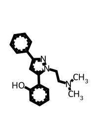 CN(C)CCn1nc(-c2ccccc2)cc1-c1ccccc1O